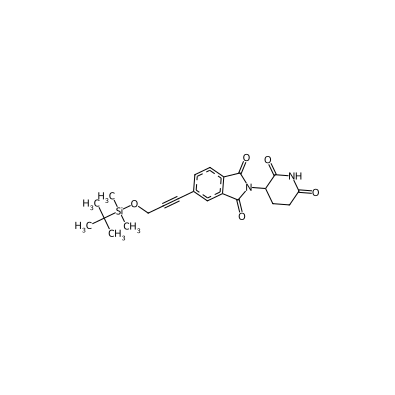 CC(C)(C)[Si](C)(C)OCC#Cc1ccc2c(c1)C(=O)N(C1CCC(=O)NC1=O)C2=O